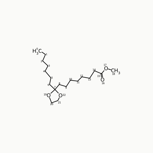 CCCCCCCC1(CCCCCCCC(=O)OC)OCCO1